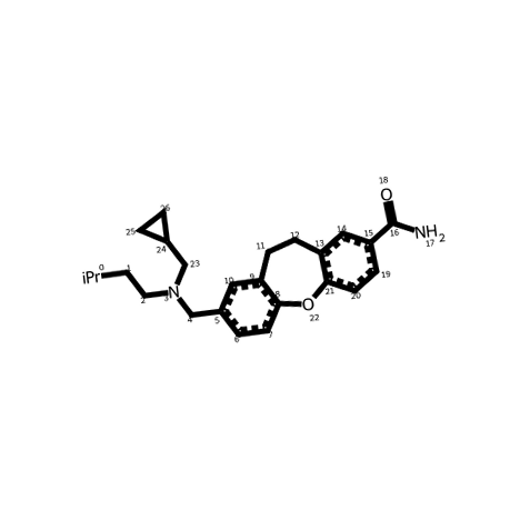 CC(C)CCN(Cc1ccc2c(c1)CCc1cc(C(N)=O)ccc1O2)CC1CC1